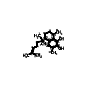 CC(C)=CCCC(C)(C)[C@@H]1CC[C@@H](C)c2c1cc(C)c(O)c2O